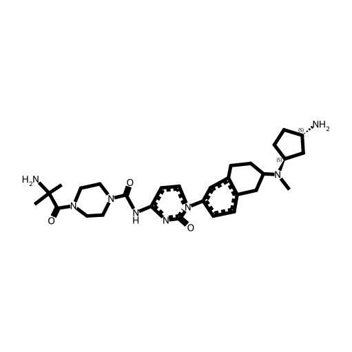 CN(C1CCc2cc(-n3ccc(NC(=O)N4CCN(C(=O)C(C)(C)N)CC4)nc3=O)ccc2C1)[C@H]1CC[C@H](N)C1